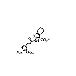 COc1ccc(/C=C/C(=O)Nc2sc3c(c2C(=O)O)CCCC3)cc1OC